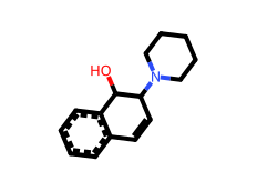 OC1c2ccccc2C=CC1N1CCCCC1